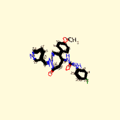 COc1ccc(C2CN(Cc3cccnc3)C(=O)CC2NC(=O)Nc2ccc(F)cc2)cc1